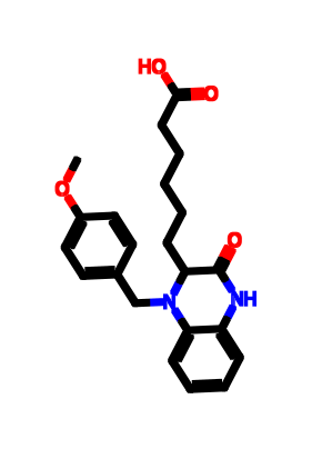 COc1ccc(CN2c3ccccc3NC(=O)C2CCCCCC(=O)O)cc1